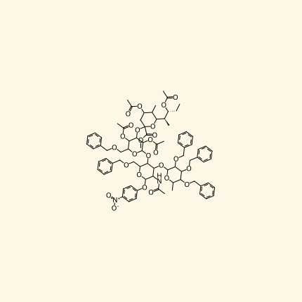 CC[C@@H](OC(C)=O)[C@@H](C)C1OC(OC2C(OC(C)=O)C(COCc3ccccc3)OC(OC3C(COCc4ccccc4)OC(Oc4ccc([N+](=O)[O-])cc4)C(NC(C)=O)C3OC3OC(C)C(OCc4ccccc4)C(OCc4ccccc4)C3OCc3ccccc3)C2OC(C)=O)(C(=O)OC)CC(OC(C)=O)C1C